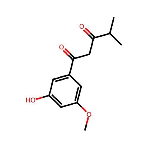 COc1cc(O)cc(C(=O)CC(=O)C(C)C)c1